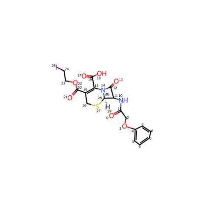 O=C(COc1ccccc1)NC1C(=O)N2C(C(=O)O)=C(C(=O)OCCI)CS[C@H]12